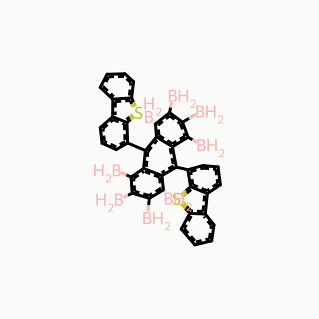 Bc1c(B)c(B)c2c(-c3cccc4c3sc3ccccc34)c3c(B)c(B)c(B)c(B)c3c(-c3cccc4c3sc3ccccc34)c2c1B